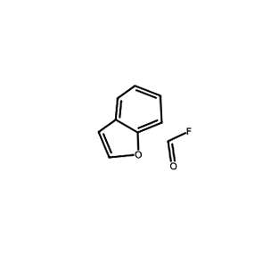 O=CF.c1ccc2occc2c1